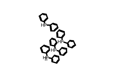 [Ti].c1ccc(Pc2ccccc2)cc1.c1ccc(Pc2ccccc2)cc1.c1ccc(Pc2ccccc2)cc1.c1ccc(Pc2ccccc2)cc1